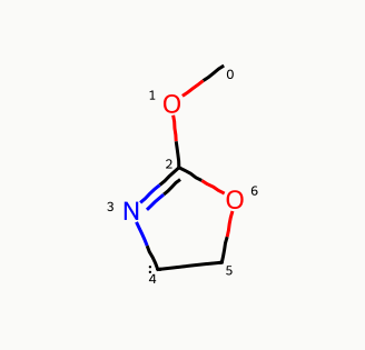 COC1=N[C]CO1